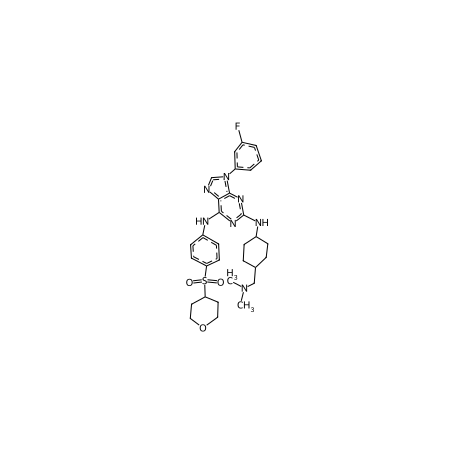 CN(C)CC1CCC(Nc2nc(Nc3ccc(S(=O)(=O)C4CCOCC4)cc3)c3ncn(-c4cccc(F)c4)c3n2)CC1